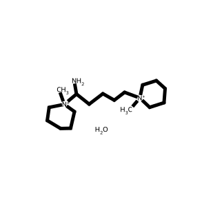 C[N+]1(CCCCC(N)[N+]2(C)CCCCC2)CCCCC1.O